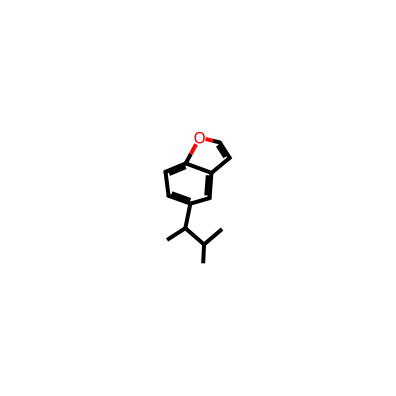 CC(C)C(C)c1ccc2occc2c1